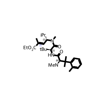 CCOC(=O)/C(C)=C/[C@H](C(C)C)N(C)C(=O)[C@@H](NC(=O)[C@H](NC)C(C)(C)c1ccccc1C)C(C)(C)C